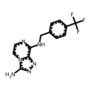 Nc1nnc2c(NCc3ccc(C(F)(F)F)cc3)nccn12